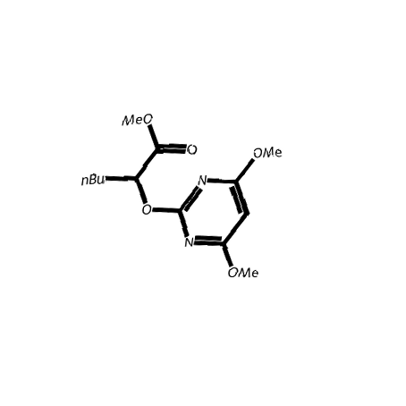 CCCCC(Oc1nc(OC)cc(OC)n1)C(=O)OC